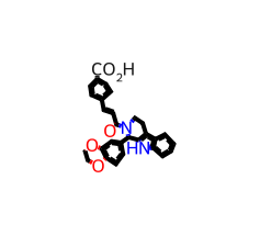 O=C(O)c1ccc(C=CC(=O)N2CCc3c([nH]c4ccccc34)C2c2ccc3c(c2)OCCO3)cc1